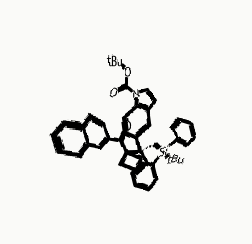 CC(C)(C)OC(=O)n1ccc2cc([C@@]3(C[Si](c4ccccc4)(c4ccccc4)C(C)(C)C)CC4CC3(C(=O)c3ccc5ccccc5c3)C4)ccc21